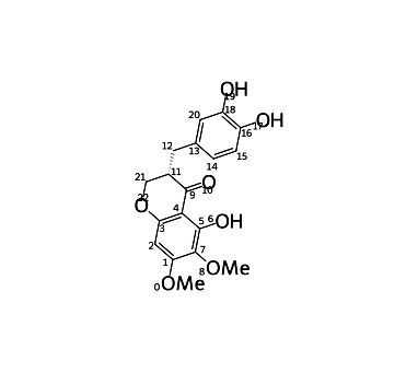 COc1cc2c(c(O)c1OC)C(=O)[C@@H](Cc1ccc(O)c(O)c1)CO2